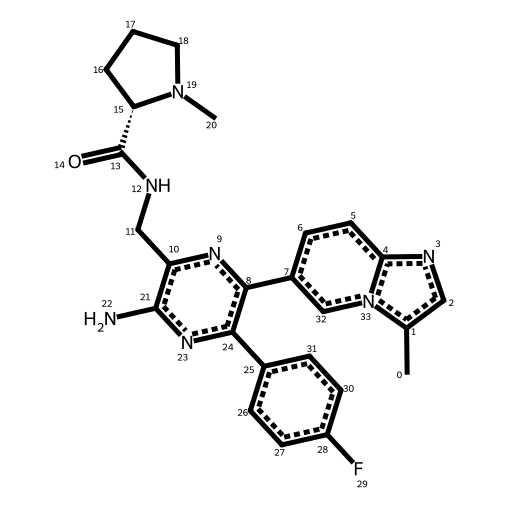 Cc1cnc2ccc(-c3nc(CNC(=O)[C@@H]4CCCN4C)c(N)nc3-c3ccc(F)cc3)cn12